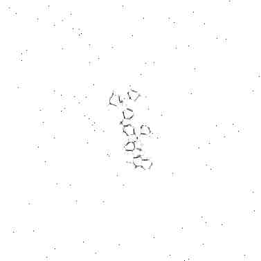 Cc1cc(C)cc(N(c2cc(C)cc(C)c2)c2ccc3c(c2)C(C)(C)c2cc4c(cc2-3)C(C)(c2ccccc2)c2c-4ccc3c2C(C)(C)c2c-3c(C)c(C)c3ccccc23)c1